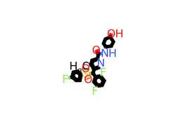 Cc1cc(C(=O)NC2CCC(O)CC2)ncc1C(c1cc(F)ccc1F)S(=O)(=O)c1ccc(F)cc1